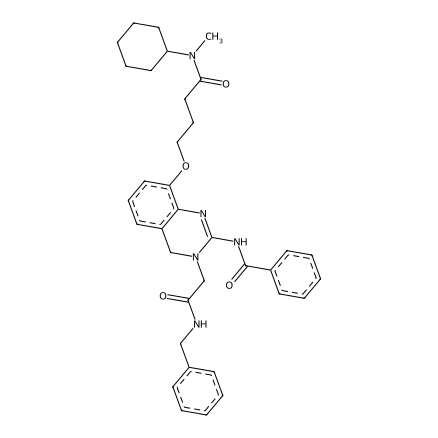 CN(C(=O)CCCOc1cccc2c1N=C(NC(=O)c1ccccc1)N(CC(=O)NCc1ccccc1)C2)C1CCCCC1